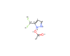 CC(=O)On1nccc1C(F)F